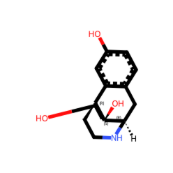 Oc1ccc2c(c1)[C@]13CCN[C@H](C2)[C@]1(O)CCC(O)C3